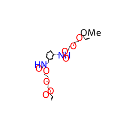 C=CC(=O)OCCOCCOC(=O)NCc1cccc(CNC(=O)OCCOCCOC(C=C)OC)c1